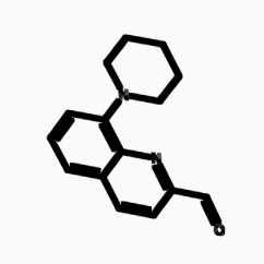 O=Cc1ccc2cccc(N3CCCCC3)c2n1